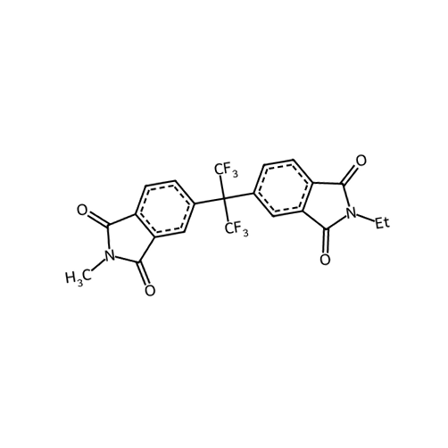 CCN1C(=O)c2ccc(C(c3ccc4c(c3)C(=O)N(C)C4=O)(C(F)(F)F)C(F)(F)F)cc2C1=O